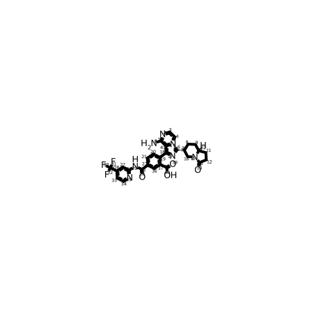 Nc1nccn2c([C@@H]3CC[C@H]4CCC(=O)N4C3)nc(-c3ccc(C(=O)Nc4cc(C(F)(F)F)ccn4)cc3C(=O)O)c12